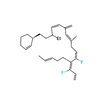 C=C/C(F)=C(CC/C=C/C)\C(F)=C/C/C(C)=C/C(=C)/C=C\C(CC)CC[C@H]1C=CCCC1